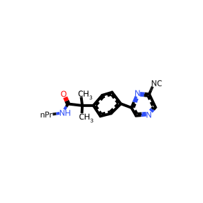 [C-]#[N+]c1cncc(-c2ccc(C(C)(C)C(=O)NCCC)cc2)n1